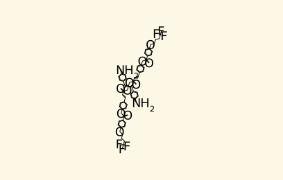 Nc1ccc(CC(Cc2ccc(N)cc2)(OC(=O)/C=C/c2ccc(OC(=O)c3ccc(OCCCC(F)(F)F)cc3)cc2)OC(=O)/C=C/c2ccc(OC(=O)c3ccc(OCCCC(F)(F)F)cc3)cc2)cc1